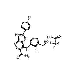 CCc1c(CO)cccc1Nc1c(C(N)=O)cnc2[nH]c(-c3ccc(Cl)cc3)cc12.O=C(O)C(F)(F)F